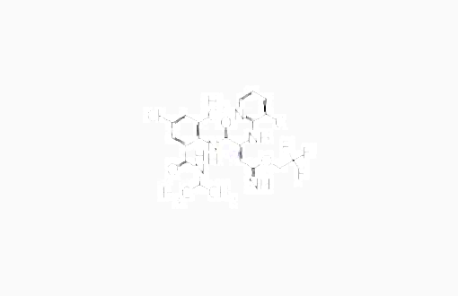 Cc1cc(Cl)cc(C(=O)NC(C)C)c1NC(=O)/C(=C/C(=N)OCC(F)(F)F)Nc1ncccc1Cl